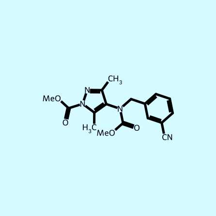 COC(=O)N(Cc1cccc(C#N)c1)c1c(C)nn(C(=O)OC)c1C